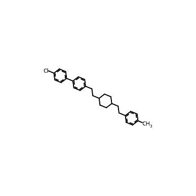 Cc1ccc(CCC2CCC(CCc3ccc(-c4ccc(Cl)cc4)cc3)CC2)cc1